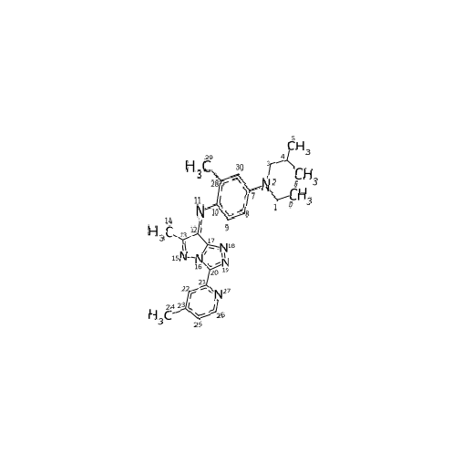 CCN(CC(C)C)c1ccc(/N=C2/C(C)=Nn3c2nnc3-c2cc(C)ccn2)c(C)c1